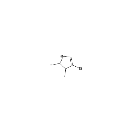 CCC1=CNC(Cl)C1C